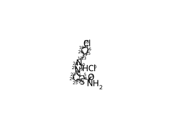 Cl.NC(=O)c1cc2c(N3CCN(CCc4ccc(Cl)cc4)CC3)cccc2s1